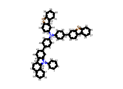 c1ccc(-n2c3cc(-c4ccc(N(c5ccc(-c6ccc7c(c6)sc6ccccc67)cc5)c5ccc6sc7ccccc7c6c5)cc4)ccc3c3ccc4ccccc4c32)cc1